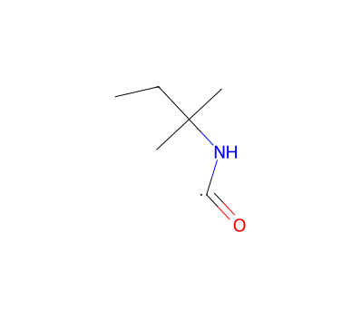 CCC(C)(C)N[C]=O